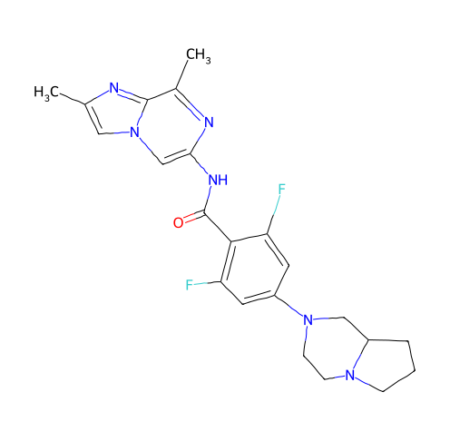 Cc1cn2cc(NC(=O)c3c(F)cc(N4CCN5CCCC5C4)cc3F)nc(C)c2n1